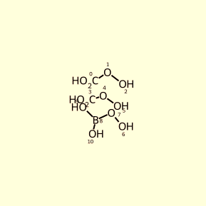 O=C(O)OO.O=C(O)OO.OOB(O)O